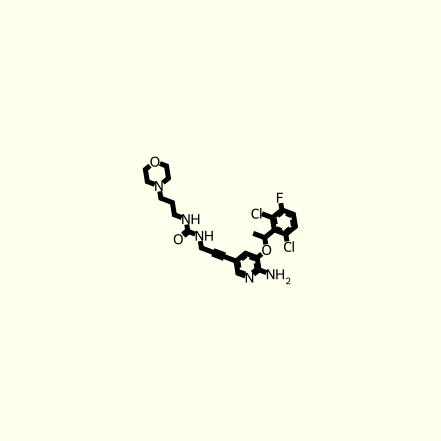 CC(Oc1cc(C#CCNC(=O)NCCCN2CCOCC2)cnc1N)c1c(Cl)ccc(F)c1Cl